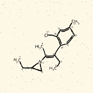 CC/C(=C(/C)N1CC1CC)c1ccc(C)cc1Cl